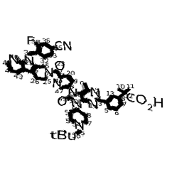 Cc1nc(-c2cccc(C(C)(C)C(=O)O)c2)nc2c1n(-c1ccc(C(=O)N3CCc4c(n(Cc5ccc(C#N)cc5F)c5ncccc45)C3)nc1)c(=O)n2C1CCN(CC(C)(C)C)CC1